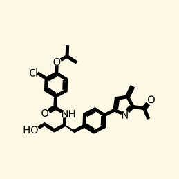 C=C1C=C(c2ccc(C[C@@H](CCO)NC(=O)c3ccc(OC(C)C)c(Cl)c3)cc2)N=C1C(C)=O